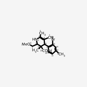 COCC1NC(C)=C(C#N)C(c2ccc(C)cc2Br)C1(C)C(=O)O